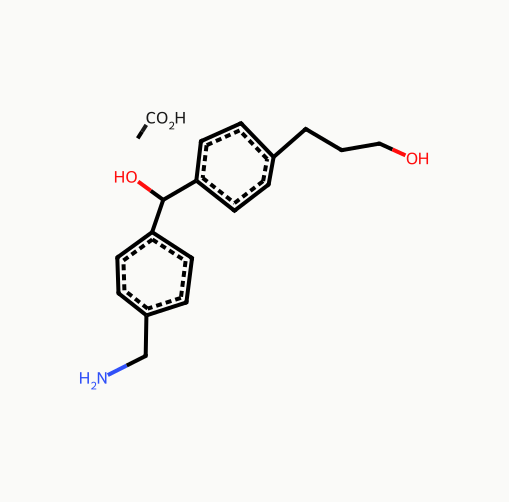 CC(=O)O.NCc1ccc(C(O)c2ccc(CCCO)cc2)cc1